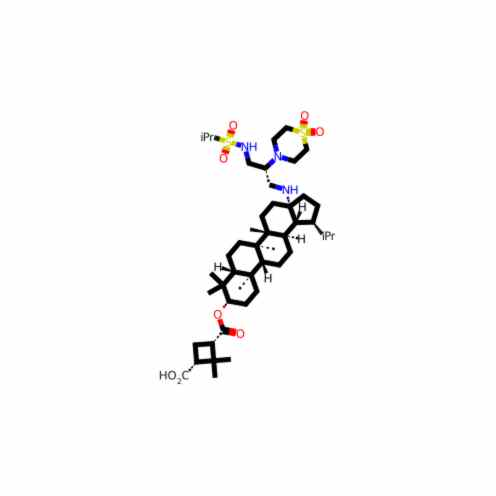 CC(C)[C@@H]1CC[C@]2(NC[C@H](CNS(=O)(=O)C(C)C)N3CCS(=O)(=O)CC3)CC[C@]3(C)[C@H](CC[C@@H]4[C@@]5(C)CC[C@H](OC(=O)[C@H]6C[C@@H](C(=O)O)C6(C)C)C(C)(C)[C@@H]5CC[C@]43C)[C@@H]12